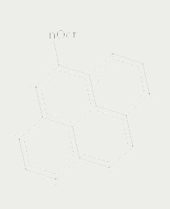 CCCCCCCCc1cc2cccc3ccc4cc[c]c1c4c32